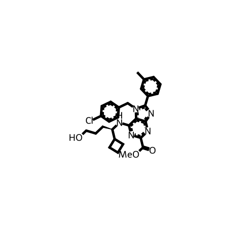 COC(=O)c1nc(N[C@H](CCCO)C2CCC2)c2c(n1)nc(-c1cccc(C)c1)n2Cc1ccc(Cl)cc1